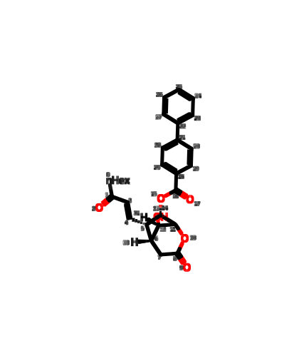 CCCCCCC(=O)C=C[C@H]1[C@H]2CC(=O)OC([C@H]2O)[C@H]1OC(=O)c1ccc(-c2ccccc2)cc1